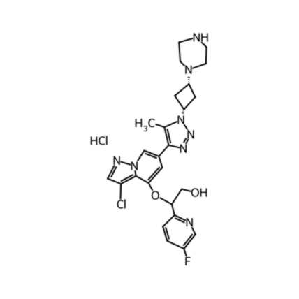 Cc1c(-c2cc(OC(CO)c3ccc(F)cn3)c3c(Cl)cnn3c2)nnn1[C@H]1C[C@@H](N2CCNCC2)C1.Cl